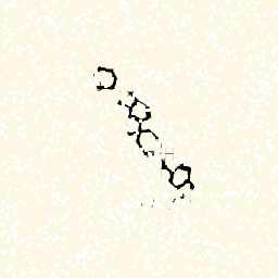 [2H]C([2H])(c1ccc2cnn(C)c2c1)N1CCC2(CC1)COc1c2ccc2c1CN([C@H]1CCC(=O)NC1=O)C2=O